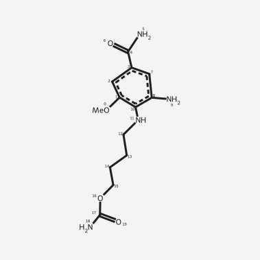 COc1cc(C(N)=O)cc(N)c1NCCCCOC(N)=O